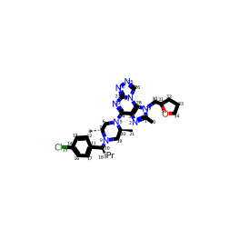 Cc1nc2c(N3C[C@@H](C)N([C@H](c4ccc(Cl)cc4)C(C)C)C[C@@H]3C)nc3nncn3c2n1CC1CCCO1